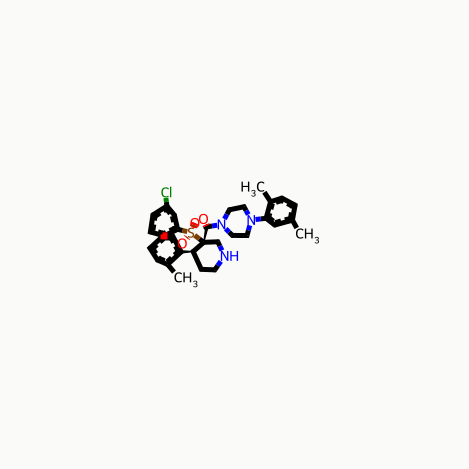 Cc1ccc(C)c(N2CCN(C(=O)[C@@]3(S(=O)(=O)c4cccc(Cl)c4)CNCC[C@H]3c3ccccc3C)CC2)c1